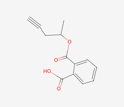 C#CCC(C)OC(=O)c1ccccc1C(=O)O